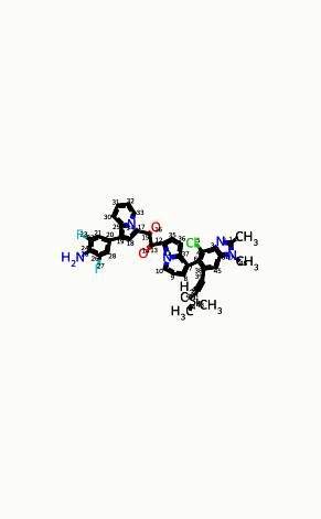 Cc1nc2c(Cl)c(-c3cccn4c(C(=O)C(=O)c5cc(-c6cc(F)c(N)c(F)c6)c6ccccn56)ccc34)c(C#C[Si](C)(C)C)cc2n1C